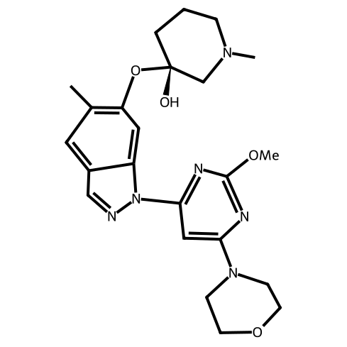 COc1nc(N2CCOCC2)cc(-n2ncc3cc(C)c(O[C@]4(O)CCCN(C)C4)cc32)n1